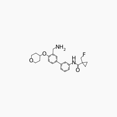 NCc1cc(-c2cccc(NC(=O)C3(CF)CC3)c2)ccc1OC1CCOCC1